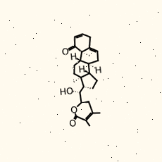 CC1=C(C)C(=O)O[C@@H]([C@H](O)[C@H]2CC[C@H]3[C@@H]4CC=C5CC=CC(=O)[C@]5(C)[C@H]4CC[C@]23C)C1